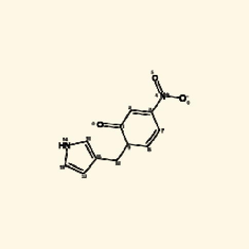 O=C1C=C([N+](=O)[O-])C=CC1Cc1cc[nH]c1